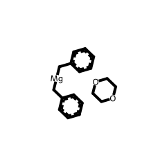 C1COCCO1.c1ccc([CH2][Mg][CH2]c2ccccc2)cc1